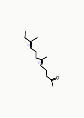 CC/C(C)=C/CC/C(C)=C/CCC(C)=O